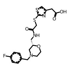 O=C(O)Cc1csc(SCC(=O)NC[C@H]2CN(Cc3ccc(F)cc3)CCO2)n1